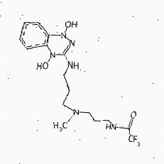 CN(CCCNC(=O)C(F)(F)F)CCCNC1=NN(O)c2ccccc2N1O